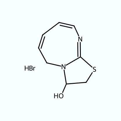 Br.OC1CSC2=NC=CC=CCN21